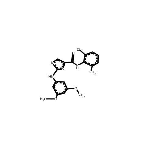 COc1cc(Nc2ncc(C(=O)Nc3c(C)cccc3Cl)s2)cc(OC)c1